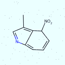 CC1=C2C(=CC=CC2[N+](=O)[O-])N=C1